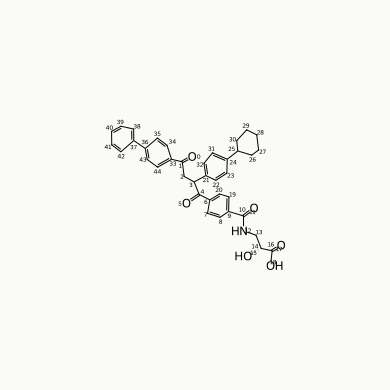 O=C(CC(C(=O)c1ccc(C(=O)NC[C@@H](O)C(=O)O)cc1)c1ccc(C2CCCCC2)cc1)c1ccc(-c2ccccc2)cc1